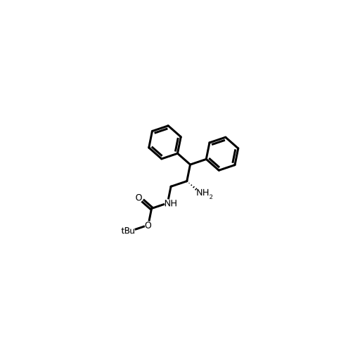 CC(C)(C)OC(=O)NC[C@@H](N)C(c1ccccc1)c1ccccc1